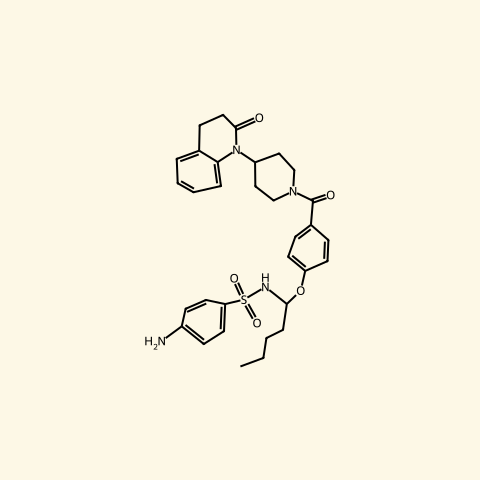 CCCCC(NS(=O)(=O)c1ccc(N)cc1)Oc1ccc(C(=O)N2CCC(N3C(=O)CCc4ccccc43)CC2)cc1